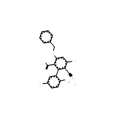 COc1ccc(F)cc1-c1c(C#N)c(C)cc(OCc2ccccc2)c1C(=O)O